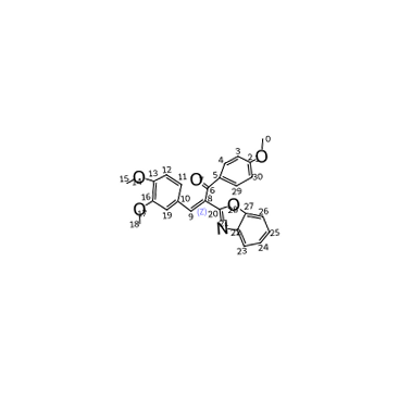 COc1ccc(C(=O)/C(=C\c2ccc(OC)c(OC)c2)c2nc3ccccc3o2)cc1